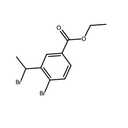 CCOC(=O)c1ccc(Br)c(C(C)Br)c1